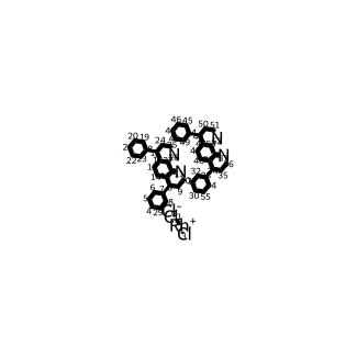 [Cl-].[Cl][Rh+][Cl].c1ccc(-c2ccnc3c2ccc2c(-c4ccccc4)ccnc23)cc1.c1ccc(-c2ccnc3c2ccc2c(-c4ccccc4)ccnc23)cc1